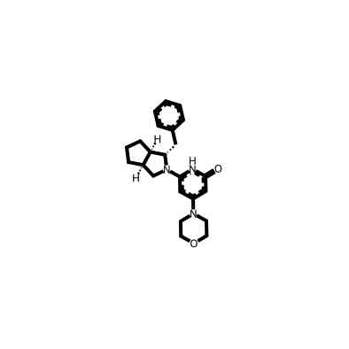 O=c1cc(N2CCOCC2)cc(N2C[C@H]3CCC[C@H]3[C@@H]2Cc2ccccc2)[nH]1